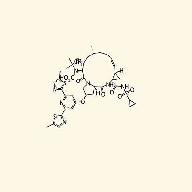 CC[C@@H]1C[C@H](C)CC/C=C\[C@@H]2C[C@@]2(C(=O)NS(=O)(=O)C2CC2)NC(=O)[C@@H]2C[C@@H](Oc3cc(-c4ncc(C)s4)nc(-c4ncc(C)s4)c3)CN2C(=O)[C@H]1N(C(=O)O)C(C)(C)C(F)(F)F